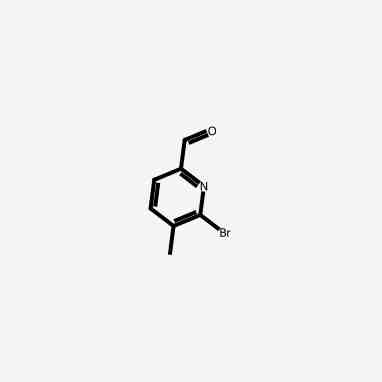 Cc1ccc(C=O)nc1Br